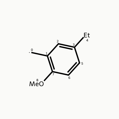 [CH2]c1cc(CC)ccc1OC